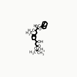 CC(CC1C(C)C2CC(C(O)CC(=O)OC(C)(C)C)C1C2)C(=O)OC1(C)C2CC3CC(C2)CC1C3